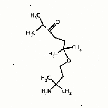 CC(C)C(=O)CCC(C)(C)OCCC(C)(C)N